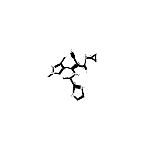 Cc1nn(C)cc1/C(NC(C)c1nccs1)=C(\C#N)C(=O)NC1CC1